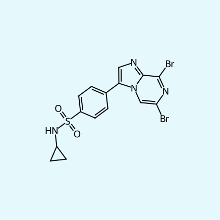 O=S(=O)(NC1CC1)c1ccc(-c2cnc3c(Br)nc(Br)cn23)cc1